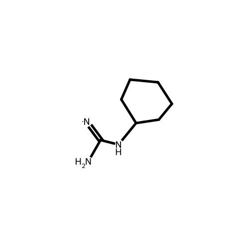 [N]=C(N)NC1CCCCC1